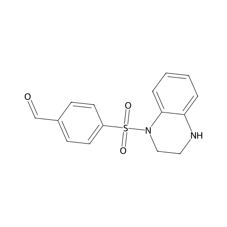 O=Cc1ccc(S(=O)(=O)N2CCNc3ccccc32)cc1